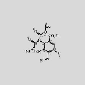 CCOC(=O)c1cc(Br)c(CBr)c(Cl)c1N(C(=O)OC(C)(C)C)C(=O)OC(C)(C)C